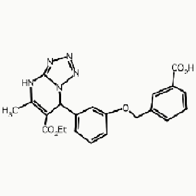 CCOC(=O)C1=C(C)Nc2nnnn2C1c1cccc(OCc2cccc(C(=O)O)c2)c1